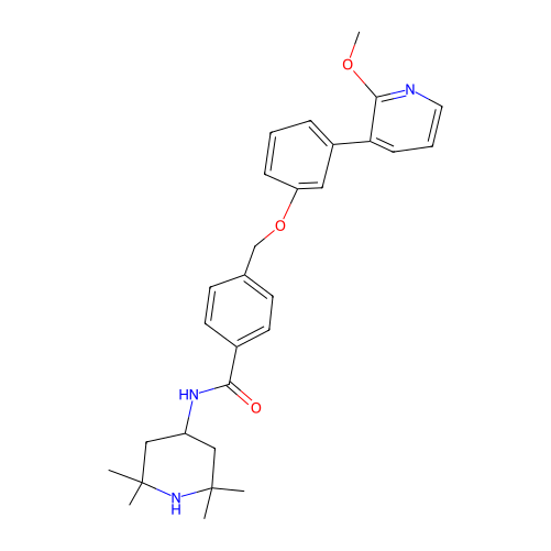 COc1ncccc1-c1cccc(OCc2ccc(C(=O)NC3CC(C)(C)NC(C)(C)C3)cc2)c1